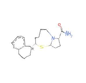 NC(=O)C1CCC2SC([C@@H]3CCCc4ccccc43)CCCN21